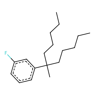 CCCCCC(C)(CCCCC)c1cccc(F)c1